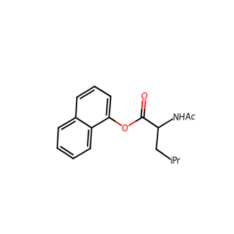 CC(=O)NC(CC(C)C)C(=O)Oc1cccc2ccccc12